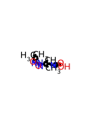 Cc1cc(-c2noc(-c3noc4c3CCC(C)(C)C4)n2)cc(C)c1CCN1CCC(C(=O)O)CC1